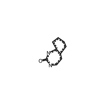 O=c1nccc2ccccc2n1